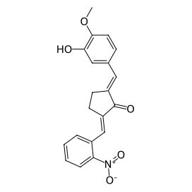 COc1ccc(/C=C2\CC/C(=C\c3ccccc3[N+](=O)[O-])C2=O)cc1O